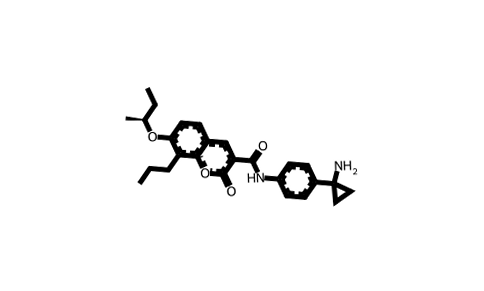 CCCc1c(O[C@@H](C)CC)ccc2cc(C(=O)Nc3ccc(C4(N)CC4)cc3)c(=O)oc12